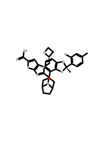 Cc1ccc([C@@]2(C)Oc3cccc(N4CC5CCC(C4)N5Cc4nc5sc(C(=O)O)cc5n4C[C@@H]4CCO4)c3O2)c(F)c1